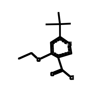 CCOc1cc(C(C)(C)C)ncc1C(=O)Cl